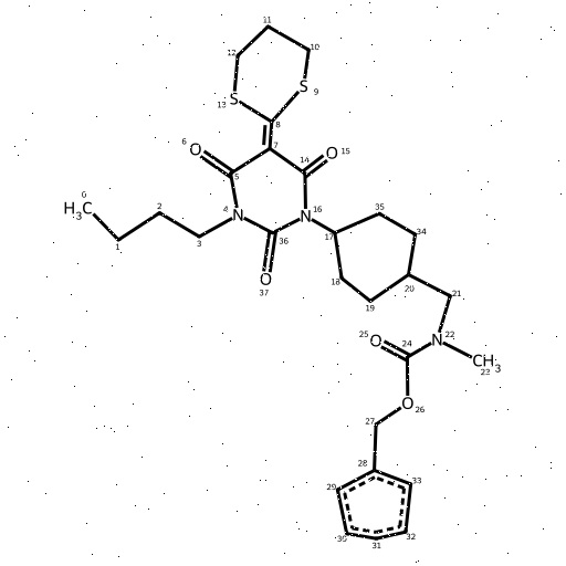 CCCCN1C(=O)C(=C2SCCCS2)C(=O)N(C2CCC(CN(C)C(=O)OCc3ccccc3)CC2)C1=O